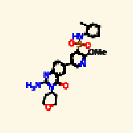 COc1ncc(-c2ccc3nc(N)n(C4CCOCC4)c(=O)c3c2)cc1S(=O)(=O)Nc1ccccc1C